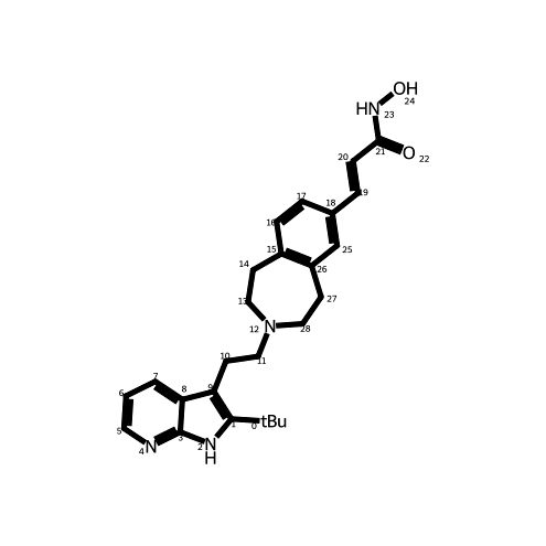 CC(C)(C)c1[nH]c2ncccc2c1CCN1CCc2ccc(/C=C/C(=O)NO)cc2CC1